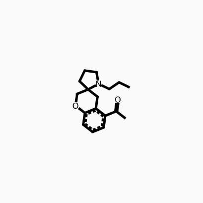 CCCN1CCCC12COc1cccc(C(C)=O)c1C2